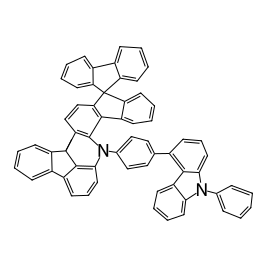 CC12c3ccccc3-c3cccc(c31)N(c1ccc(-c3cccc4c3c3ccccc3n4-c3ccccc3)cc1)c1c2ccc2c1-c1ccccc1C21c2ccccc2-c2ccccc21